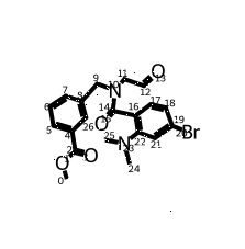 COC(=O)c1cccc(CN(CC=O)C(=O)c2ccc(Br)cc2N(C)C)c1